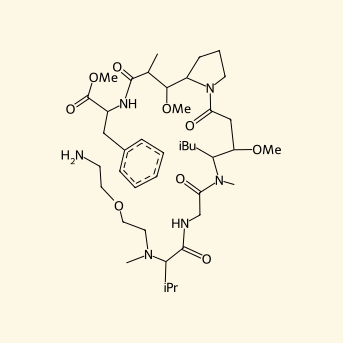 CCC(C)C(C(CC(=O)N1CCCC1C(OC)C(C)C(=O)NC(Cc1ccccc1)C(=O)OC)OC)N(C)C(=O)CNC(=O)C(C(C)C)N(C)CCOCCN